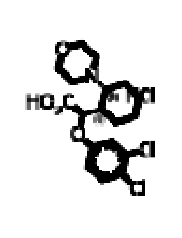 Cl.O=C(O)C(Oc1ccc(Cl)c(Cl)c1)[C@@H]1CCCC[C@H]1N1CCOCC1